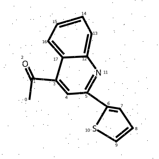 CC(=O)c1cc(-c2cccs2)nc2ccccc12